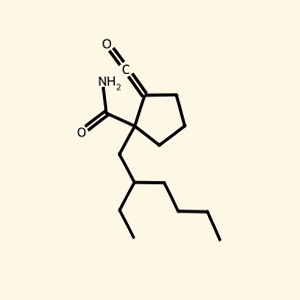 CCCCC(CC)CC1(C(N)=O)CCCC1=C=O